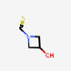 OC1CN(C=S)C1